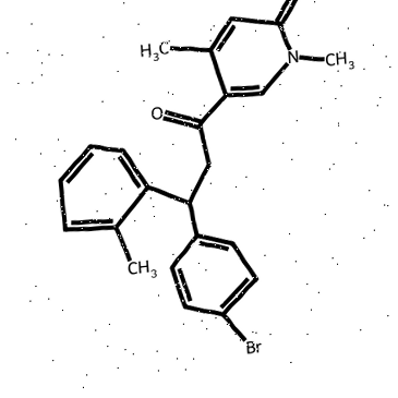 Cc1cc(=O)n(C)cc1C(=O)CC(c1ccc(Br)cc1)c1ccccc1C